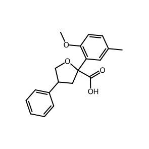 COc1ccc(C)cc1C1(C(=O)O)CC(c2ccccc2)CO1